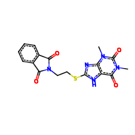 Cn1c(=O)c2[nH]c(SCCN3C(=O)c4ccccc4C3=O)nc2n(C)c1=O